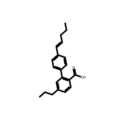 CCCC=Cc1ccc(-c2cc(CCC)ccc2C(=O)O)cc1